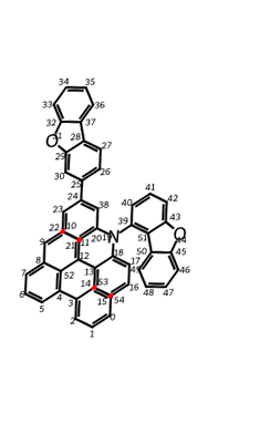 c1ccc(-c2cccc3cccc(-c4ccccc4N(c4cccc(-c5ccc6c(c5)oc5ccccc56)c4)c4cccc5oc6ccccc6c45)c23)cc1